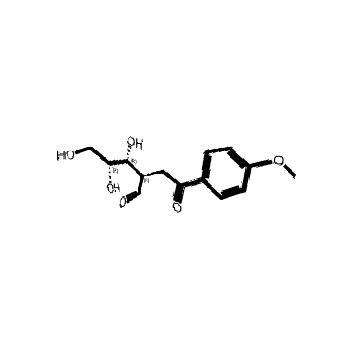 COc1ccc(C(=O)C[C@@H](C=O)[C@@H](O)[C@H](O)CO)cc1